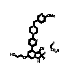 COc1ccc(CN2CCN(c3ccc(C4=CC(OCCO)=CN5NC(F)(F)C(C#N)=C45)cn3)CC2)cn1.O=C(O)CF